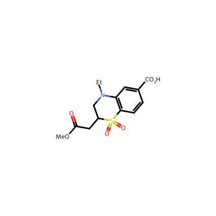 CCN1CC(CC(=O)OC)S(=O)(=O)c2ccc(C(=O)O)cc21